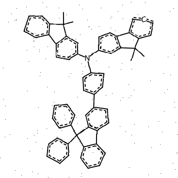 CC1(C)c2ccccc2-c2ccc(N(c3ccc(-c4ccc5c(c4)C(c4ccccc4)(c4ccccc4)c4ccccc4-5)cc3)c3ccc4c(c3)C(C)(C)c3ccccc3-4)cc21